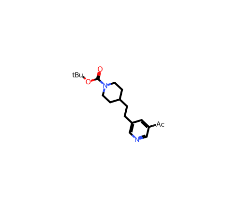 CC(=O)c1cncc(CCC2CCN(C(=O)OC(C)(C)C)CC2)c1